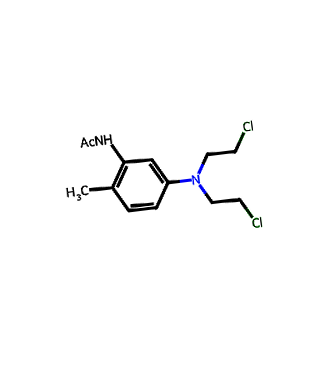 CC(=O)Nc1cc(N(CCCl)CCCl)ccc1C